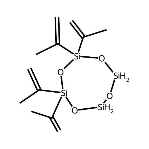 C=C(C)[Si]1(C(=C)C)O[SiH2]O[SiH2]O[Si](C(=C)C)(C(=C)C)O1